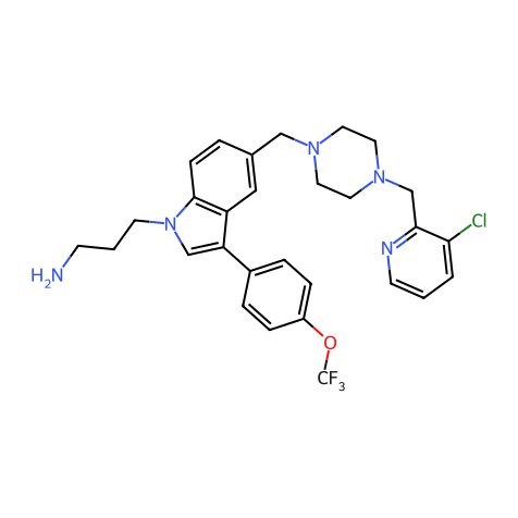 NCCCn1cc(-c2ccc(OC(F)(F)F)cc2)c2cc(CN3CCN(Cc4ncccc4Cl)CC3)ccc21